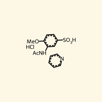 COc1ccc(S(=O)(=O)O)cc1NC(C)=O.Cl.c1ccncc1